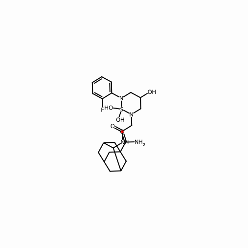 NC(=O)C12CC3CC(C1)C(NC(=O)CN1CC(O)CN(c4ccccc4F)S1(O)O)C(C3)C2